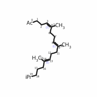 CC(=O)CC/C=C(/C)CC/C=C(\C)CC/C=C(\C)CCCC(C)C